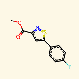 COC(=O)c1cc(-c2ccc(F)cc2)sn1